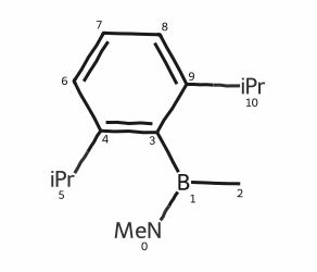 CNB(C)c1c(C(C)C)cccc1C(C)C